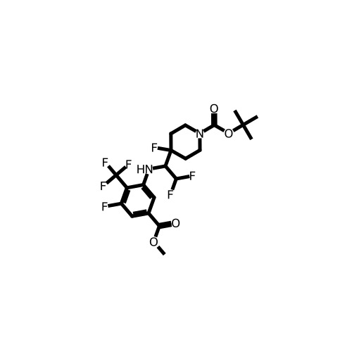 COC(=O)c1cc(F)c(C(F)(F)F)c(NC(C(F)F)C2(F)CCN(C(=O)OC(C)(C)C)CC2)c1